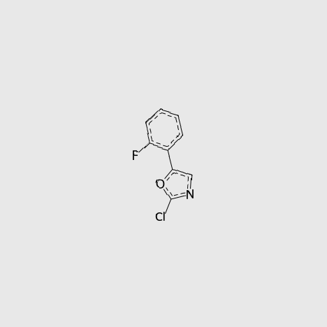 Fc1ccccc1-c1cnc(Cl)o1